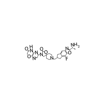 C[C@H](N)c1nc2cc3c(c(F)c2o1)CC(CN1CCC2(CC1)CN(c1cnc4c(n1)NC(=O)CO4)C(=O)O2)C3